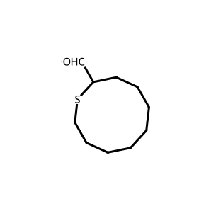 O=[C]C1CCCCCCCCS1